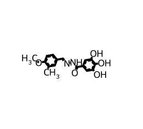 COc1ccc(/C=N/NC(=O)c2cc(O)c(O)c(O)c2)cc1C